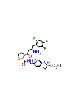 CCOC(=O)[C@@H](Nc1ccc(CNC(=O)[C@@H]2SCCN2C(=O)C[C@H](N)Cc2cc(F)c(F)cc2F)nc1)C(C)C